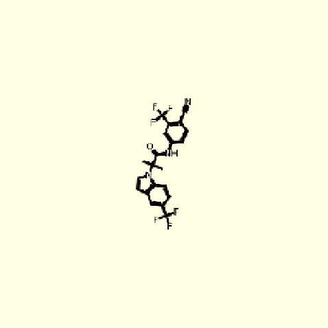 CC(C)(C(=O)Nc1ccc(C#N)c(C(F)(F)F)c1)n1ccc2cc(C(F)(F)F)ccc21